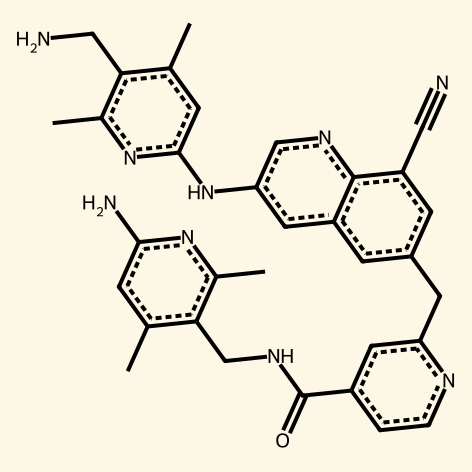 Cc1cc(N)nc(C)c1CNC(=O)c1ccnc(Cc2cc(C#N)c3ncc(Nc4cc(C)c(CN)c(C)n4)cc3c2)c1